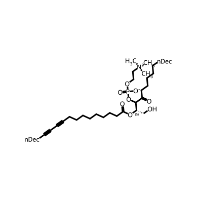 CCCCCCCCCCC#CC#CCCCCCCCCC(=O)O[C@@H](CO)C(OP(=O)([O-])OCC[N+](C)(C)C)C(=O)CCCCCCCCCCCCCCC